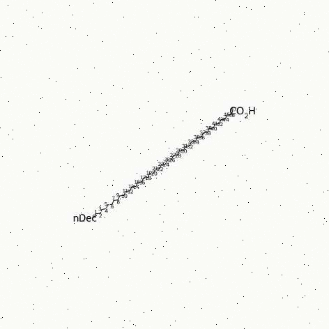 CCCCCCCCCCCCCCCCCCCCCCCCCCCCCCCCCCCCCCCCCCCCCCCCCCCCCCCCC(=O)O